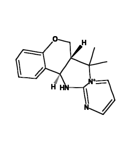 CC1(C)[C@H]2COc3ccccc3[C@@H]2Nc2nccc[n+]21